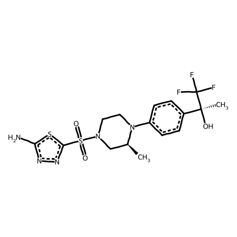 C[C@H]1CN(S(=O)(=O)c2nnc(N)s2)CCN1c1ccc([C@](C)(O)C(F)(F)F)cc1